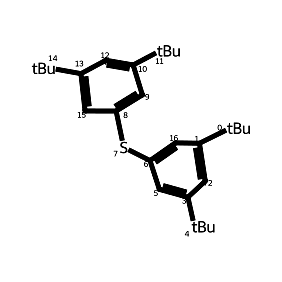 CC(C)(C)c1[c]c(C(C)(C)C)cc(Sc2cc(C(C)(C)C)[c]c(C(C)(C)C)c2)c1